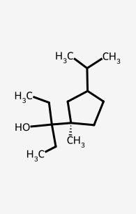 CCC(O)(CC)[C@]1(C)CCC(C(C)C)C1